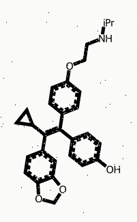 CC(C)NCCOc1ccc(C(=C(c2ccc3c(c2)OCO3)C2CC2)c2ccc(O)cc2)cc1